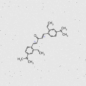 C=Cc1cc(N(C)C)ccc1/C=C/C(=O)/C=C/c1ccc(N(C)C)cc1C=C